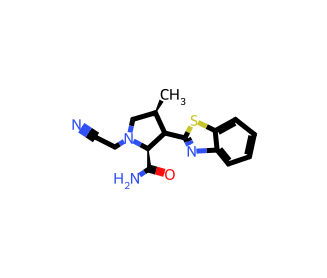 C[C@@H]1CN(CC#N)[C@H](C(N)=O)C1c1nc2ccccc2s1